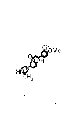 COc1ccc(C2=CC(=O)N3C=C(N4CCN[C@@H](C)C4)C=CC3P2)cc1Cl